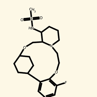 CS(=O)(=O)NC1CCCN2CCOc3c(F)cccc3C3CCC(CC3)OCC12